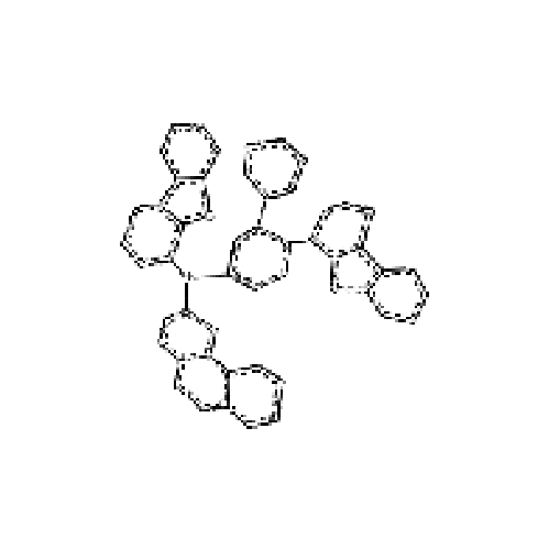 c1ccc(-c2cc(N(c3ccc4ccc5ccccc5c4c3)c3cccc4c3oc3ccccc34)ccc2-c2cccc3c2sc2ccccc23)cc1